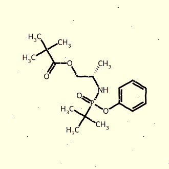 C[C@@H](COC(=O)C(C)(C)C)NP(=O)(Oc1ccccc1)C(C)(C)C